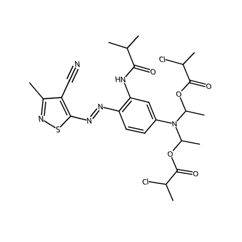 Cc1nsc(/N=N/c2ccc(N(C(C)OC(=O)C(C)Cl)C(C)OC(=O)C(C)Cl)cc2NC(=O)C(C)C)c1C#N